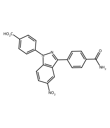 NC(=O)c1ccc(-c2nn(-c3ccc(C(=O)O)cc3)c3ccc([N+](=O)[O-])cc23)cc1